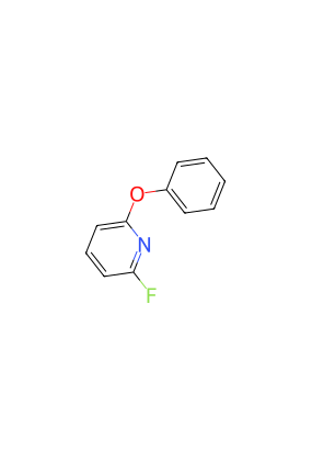 Fc1cccc(Oc2ccccc2)n1